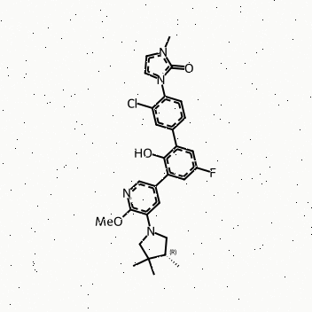 COc1ncc(-c2cc(F)cc(-c3ccc(-n4ccn(C)c4=O)c(Cl)c3)c2O)cc1N1C[C@H](C)C(C)(C)C1